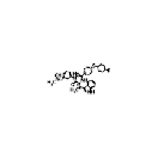 C[C@H](c1c[nH]c2ccccc12)[C@@H](NC(=O)N1CCC(Sc2ccc(F)cc2)CC1)C(=O)Nc1cccc(CN(C)C)c1